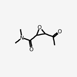 CC(=O)C1OC1C(=O)N(C)C